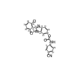 N#Cc1ccc(NC(=O)Oc2ccc3nc(-c4c(Cl)cccc4Cl)[nH]c3c2)cc1